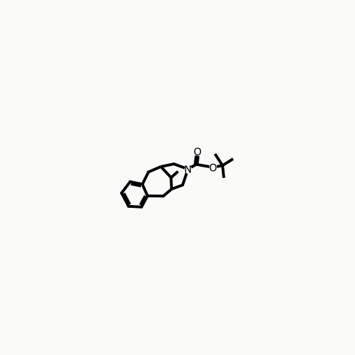 CC1C2Cc3ccccc3CC1CN(C(=O)OC(C)(C)C)C2